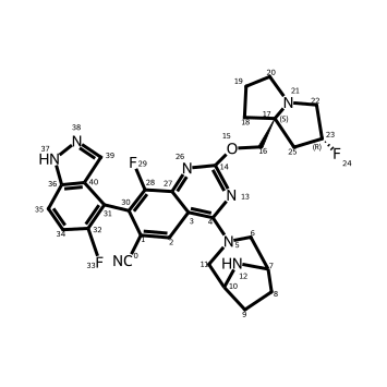 N#Cc1cc2c(N3CC4CCC(C3)N4)nc(OC[C@@]34CCCN3C[C@H](F)C4)nc2c(F)c1-c1c(F)ccc2[nH]ncc12